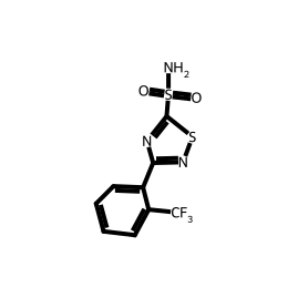 NS(=O)(=O)c1nc(-c2ccccc2C(F)(F)F)ns1